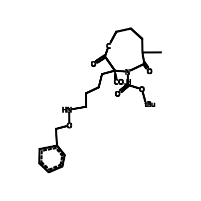 CC1CCCCC(=O)[C@](CCCCNOCc2ccccc2)(C(=O)O)N(C(=O)OC(C)(C)C)C1=O